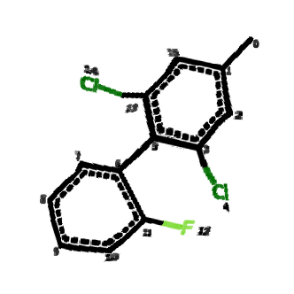 Cc1cc(Cl)c(-c2ccccc2F)c(Cl)c1